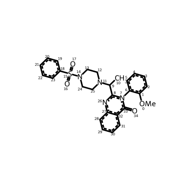 COc1ccccc1-n1c(C(C)N2CCN(S(=O)(=O)c3ccccc3)CC2)nc2ccccc2c1=O